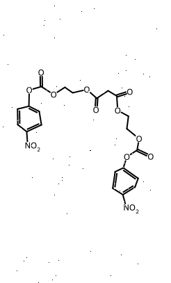 O=C(CC(=O)OCCOC(=O)Oc1ccc([N+](=O)[O-])cc1)OCCOC(=O)Oc1ccc([N+](=O)[O-])cc1